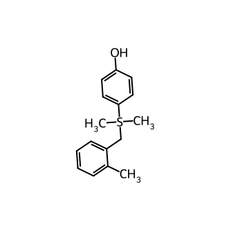 Cc1ccccc1CS(C)(C)c1ccc(O)cc1